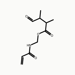 C=CC(=O)NCOC(=O)C(C)C(C)C=O